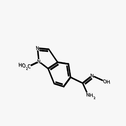 NC(=NO)c1ccc2c(cnn2C(=O)O)c1